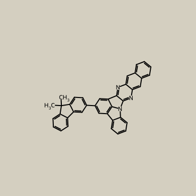 CC1(C)c2ccccc2-c2cc(-c3cc4c5ccccc5n5c6nc7cc8ccccc8cc7nc6c(c3)c45)ccc21